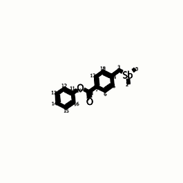 [CH3][Sb]([CH3])[CH2]c1ccc(C(=O)Oc2ccccc2)cc1